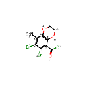 O=C(Cl)c1c(Br)c(Br)c([N+](=O)[O-])c2c1OCCO2